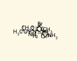 C=C(C)O/C=C(\N)C(=O)Nc1cc(Br)cc([C@]2(C)COCC(N)=N2)c1